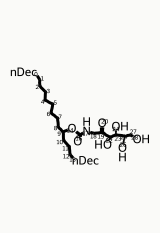 CCCCCCCCCCCCCCCCCCC(CCCCCCCCCCCCC)OC(=O)NCC(=O)[C@@H](O)[C@@H](O)[C@H](O)CO